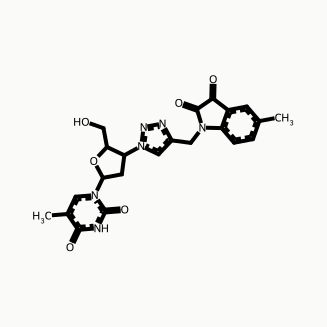 Cc1ccc2c(c1)C(=O)C(=O)N2Cc1cn(C2CC(n3cc(C)c(=O)[nH]c3=O)OC2CO)nn1